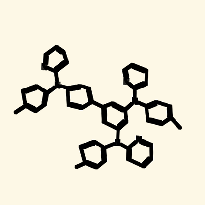 Cc1ccc(N(c2ccc(-c3cc(N(c4ccc(C)cc4)c4ccccn4)cc(N(c4ccc(C)cc4)c4ccccn4)c3)cc2)c2ccccn2)cc1